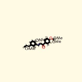 C=CCc1ccc(OC)c(/C=C/C(=O)c2ccc(OC(OC)OC)cc2)c1OC